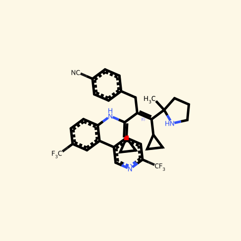 CC1(/C(=C(\Cc2ccc(C#N)cc2)C(Nc2ccc(C(F)(F)F)cc2-c2ccc(C(F)(F)F)nc2)=C2CC2)C2CC2)CCCN1